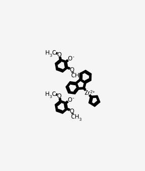 C1=CC[C]([Zr+2][CH]2c3ccccc3-c3ccccc32)=C1.COc1cccc(OC)c1[O-].COc1cccc(OC)c1[O-]